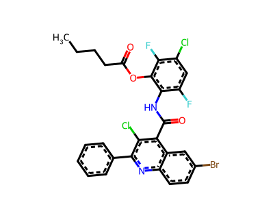 CCCCC(=O)Oc1c(F)c(Cl)cc(F)c1NC(=O)c1c(Cl)c(-c2ccccc2)nc2ccc(Br)cc12